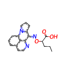 CCCC(ON=c1c2nccc3cccc(c32)n2cccc12)C(=O)O